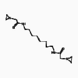 O=C(CN1CC1)NCCCCCCCCNC(=O)CN1CC1